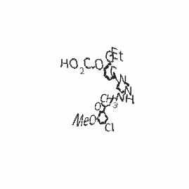 CCOc1cc(-c2cc(NCCc3c(C)oc4c(OC)cc(Cl)cc34)ncn2)ccc1OCC(=O)O